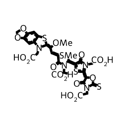 CO/C(C=CC(=O)N(CC(=O)O)/C(SC)=c1\s/c(=C2/OC(=S)N(CC(=O)O)C2=O)n(CC(=O)O)c1=O)=C1\Sc2cc3c(cc2N1CC(=O)O)OCO3